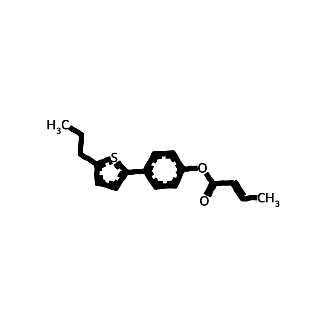 CC=CC(=O)Oc1ccc(-c2ccc(CCC)s2)cc1